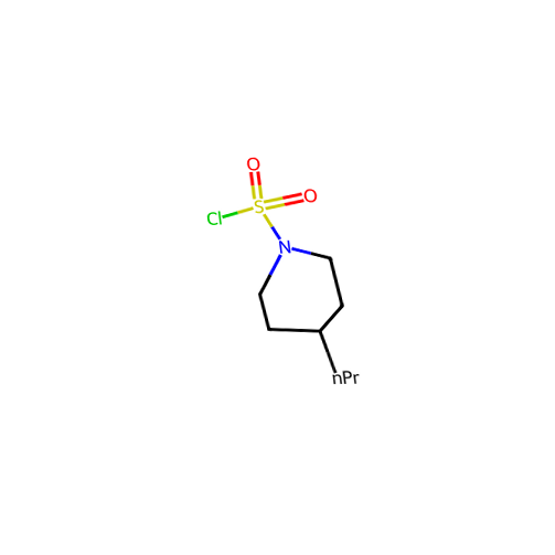 CCCC1CCN(S(=O)(=O)Cl)CC1